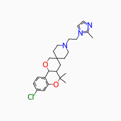 Cc1nccn1CCN1CCC2(CC1)COC1c3ccc(Cl)cc3OC(C)(C)C1C2